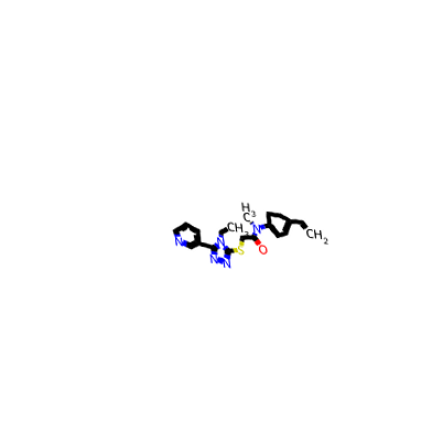 C=CC1=CC=C(N(C)C(=O)CSc2nnc(-c3cccnc3)n2CC)CC1